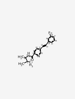 CC(C)[C@@H](C)NC(=O)c1ccc(C#Cc2cccc(F)c2)cn1